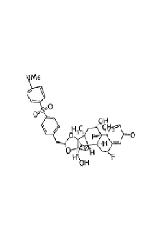 CNc1ccc(S(=O)(=O)c2ccc(C[C@@H]3O[C@@H]4C[C@H]5[C@@H]6C[C@H](F)C7=CC(=O)C=C[C@]7(C)[C@@]6(F)[C@@H](O)C[C@]5(C)[C@]4(C(=O)CO)O3)cc2)cc1